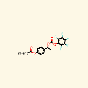 CCCCCC(=O)Oc1ccc(C(C)OC(=O)Oc2c(F)c(F)c(F)c(F)c2F)cc1